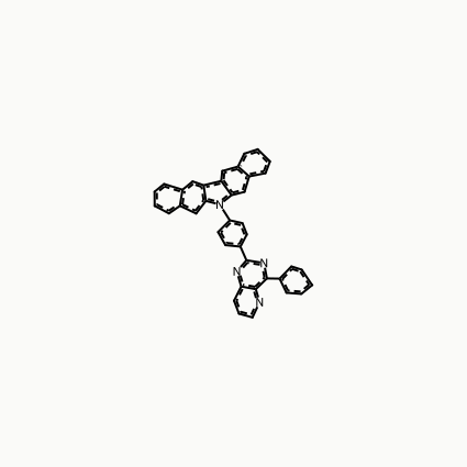 c1ccc(-c2nc(-c3ccc(-n4c5cc6ccccc6cc5c5cc6ccccc6cc54)cc3)nc3cccnc23)cc1